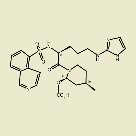 C[C@@H]1CCN(C(=O)[C@H](CCCNc2ncc[nH]2)NS(=O)(=O)c2cccc3cnccc23)[C@H](OC(=O)O)C1